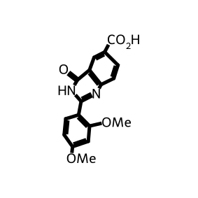 COc1ccc(-c2nc3ccc(C(=O)O)cc3c(=O)[nH]2)c(OC)c1